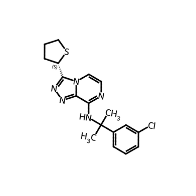 CC(C)(Nc1nccn2c([C@@H]3CCCS3)nnc12)c1cccc(Cl)c1